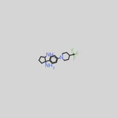 NC1CCCC1(N)c1ccc(N2CCC(C(F)(F)F)CC2)cc1